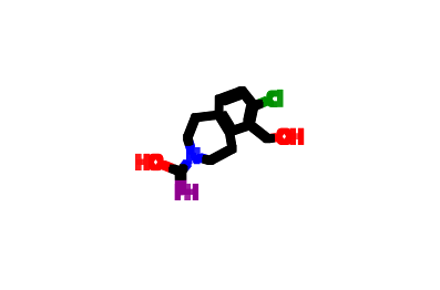 OCc1c(Cl)ccc2c1CCN(C(O)=P)CC2